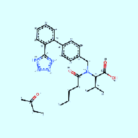 CCC(C)=O.CCCCC(=O)N(Cc1ccc(-c2ccccc2-c2nnn[nH]2)cc1)C(C(=O)O)C(C)C